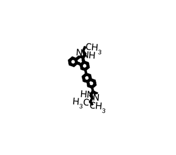 CCc1nc2c3ccccc3c3cc(-c4ccc5cc(-c6cnc(C(C)C)[nH]6)ccc5c4)ccc3c2[nH]1